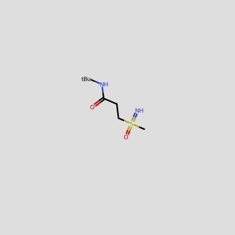 CC(C)(C)NC(=O)CCS(C)(=N)=O